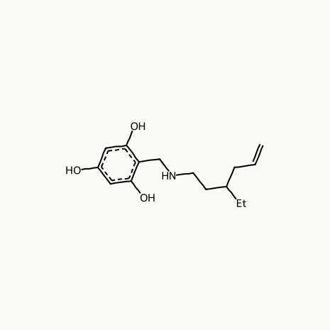 C=CCC(CC)CCNCc1c(O)cc(O)cc1O